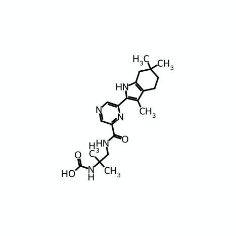 Cc1c(-c2cncc(C(=O)NCC(C)(C)NC(=O)O)n2)[nH]c2c1CCC(C)(C)C2